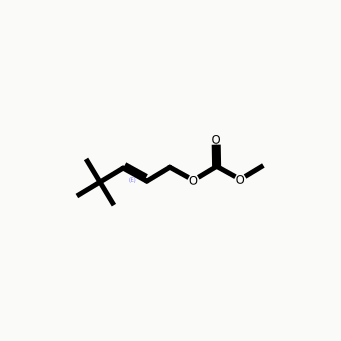 COC(=O)OC/C=C/C(C)(C)C